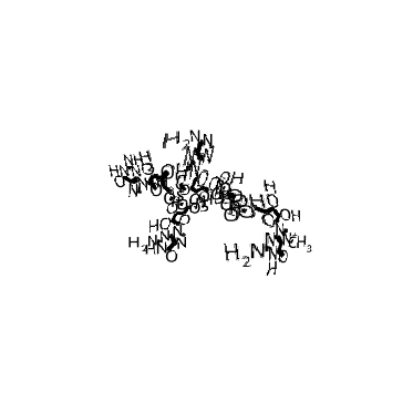 COC1C(OP([O-])(=S)OCC2OC(n3cnc4c(=O)[nH]c(N)nc43)C(O)C2OP(O)(=S)OCC2OC(n3cnc4c(=O)[nH]c(N)nc43)C(O)C2O)C(COP(=O)(O)OP(=O)(O)OP(=O)(O)OCC2OC(n3c[n+](C)c4c(=O)[nH]c(N)nc43)C(O)C2O)OC1n1cnc2c(N)ncnc21